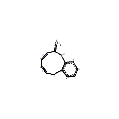 C=C1/C=C\C=C/Cc2cccnc2S1